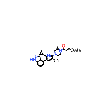 COCCC(=O)N1CCN(c2nc(C3CC3)c(-c3cccc4[nH]ncc34)cc2C#N)C[C@H]1C